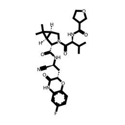 CC(C)[C@H](NC(=O)C1CCOC1)C(=O)N1C[C@H]2[C@@H]([C@H]1C(=O)N[C@H](C#N)C[C@@H]1Oc3ccc(F)cc3NC1=O)C2(C)C